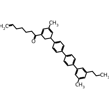 C=CCCCCC(=O)C1=CC(C)=CC(c2ccc(-c3ccc(-c4cc(C)cc(CCC)c4)cc3)cc2)C1